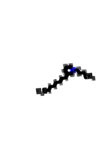 CCCCCCCCc1ccc[n+](CCCC)c1